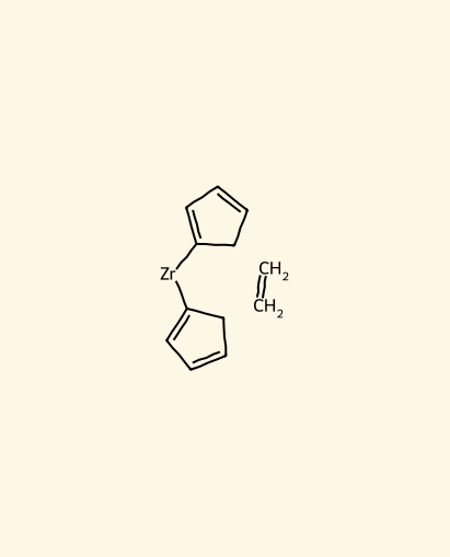 C1=CC[C]([Zr][C]2=CC=CC2)=C1.C=C